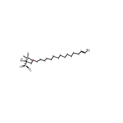 CCC=CCCCCCCCCCCCCCCCC(CC)(P(=O)=O)[N+](C)(C)C